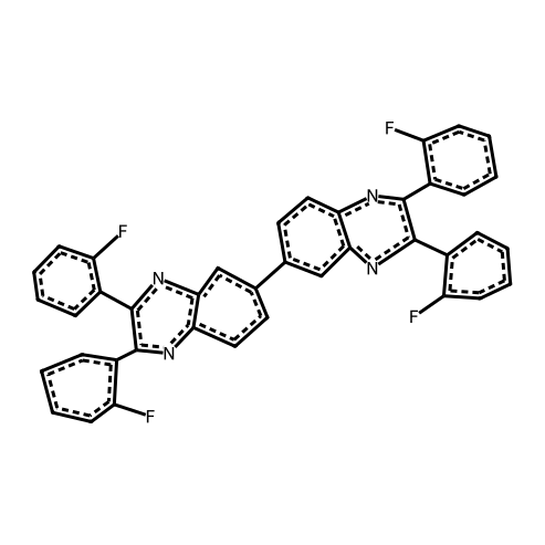 Fc1ccccc1-c1nc2ccc(-c3ccc4nc(-c5ccccc5F)c(-c5ccccc5F)nc4c3)cc2nc1-c1ccccc1F